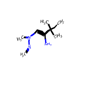 C=NN(C)/C=C(\N)C(C)(C)C